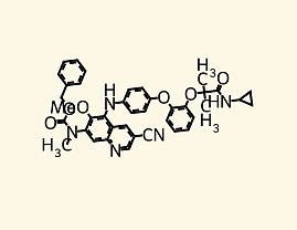 COc1c(N(C)C(=O)OCc2ccccc2)cc2ncc(C#N)cc2c1Nc1ccc(Oc2ccccc2OC(C)(C)C(=O)NC2CC2)cc1